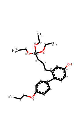 CCCOc1ccc(-c2ccc(O)cc2CCC[Si](OCC)(OCC)OCC)cc1